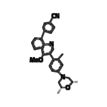 COc1c(-c2ccc(N3C[C@@H](C)O[C@@H](C)C3)cc2C)cnc2c(-c3ccc(C#N)cc3)cccc12